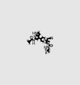 N#CCC1(N2CC=C(c3cc(NC(=O)C4CC4)nc4[nH]ccc34)CC2)CN(C(=O)NCC(F)(F)F)C1